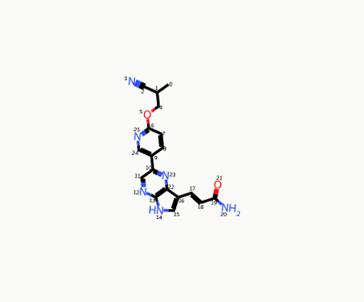 CC(C#N)COc1ccc(-c2cnc3[nH]cc(C=CC(N)=O)c3n2)cn1